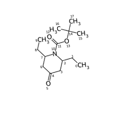 CCC1CC(=O)CC(CC)N1C(=O)OC(C)(C)C